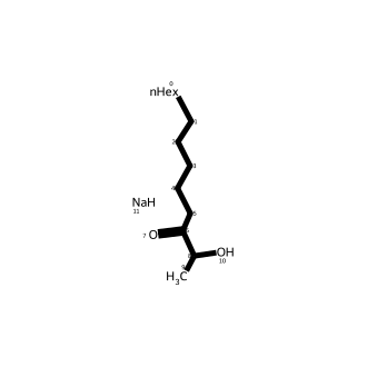 CCCCCCCCCCCC(=O)C(C)O.[NaH]